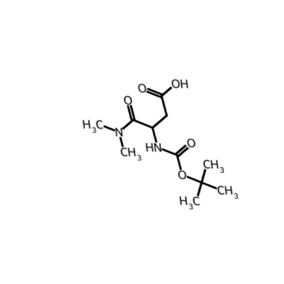 CN(C)C(=O)C(CC(=O)O)NC(=O)OC(C)(C)C